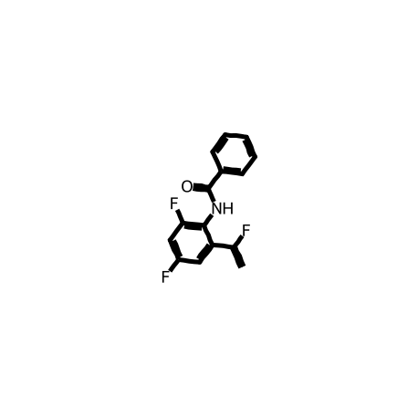 C=C(F)c1cc(F)cc(F)c1NC(=O)c1ccccc1